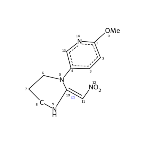 COc1ccc(N2CCCN/C2=C/[N+](=O)[O-])cn1